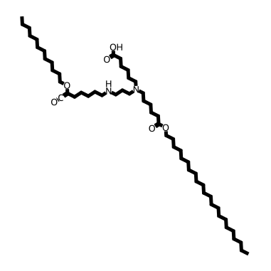 CCCCCCCCCCCCCCCCCCCCCCOC(=O)CCCCCN(CCCCCC(=O)O)CCCNCCCCCC(=C=O)OCCCCCCCCCCCC